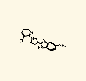 Nc1ccc2[nH]c(C3CCN(c4ncccc4Cl)C3)nc2c1